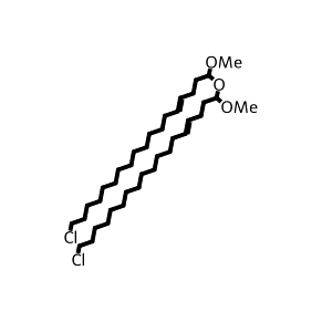 COC(CCC=CCCCCCCCCCCCCCCl)OC(CCC=CCCCCCCCCCCCCCCl)OC